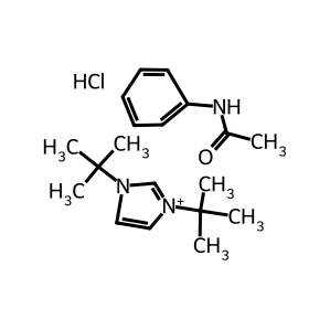 CC(=O)Nc1ccccc1.CC(C)(C)n1cc[n+](C(C)(C)C)c1.Cl